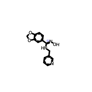 O/N=C(\NCc1cccnc1)c1ccc2c(c1)OCO2